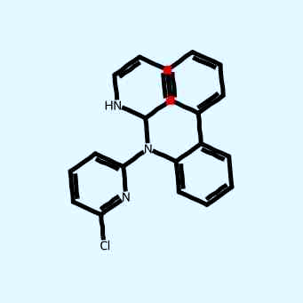 Clc1cccc(N(c2ccccc2-c2ccccc2)C2C=CC=CN2)n1